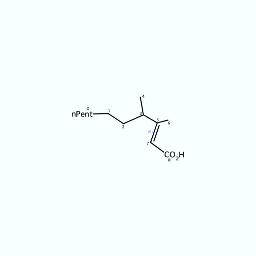 CCCCCCCC(C)/C(C)=C/C(=O)O